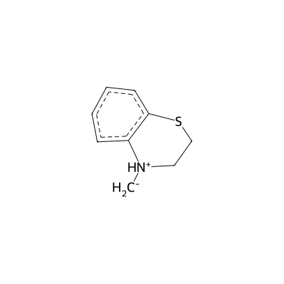 [CH2-][NH+]1CCSc2ccccc21